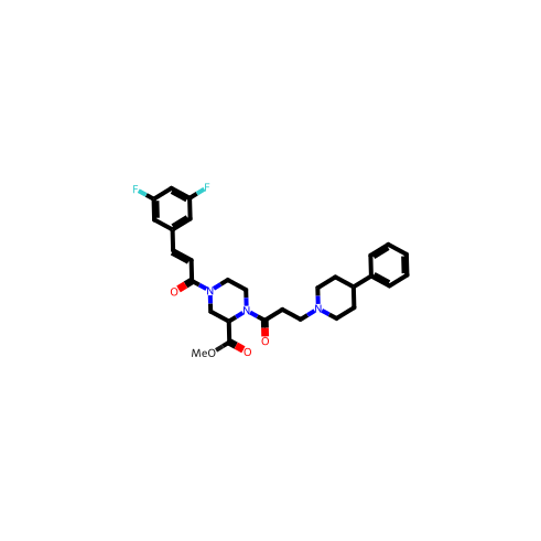 COC(=O)C1CN(C(=O)C=Cc2cc(F)cc(F)c2)CCN1C(=O)CCN1CCC(c2ccccc2)CC1